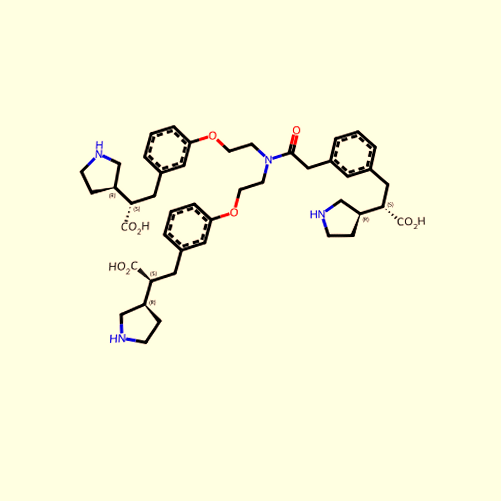 O=C(O)[C@@H](Cc1cccc(CC(=O)N(CCOc2cccc(C[C@H](C(=O)O)[C@H]3CCNC3)c2)CCOc2cccc(C[C@H](C(=O)O)[C@H]3CCNC3)c2)c1)[C@H]1CCNC1